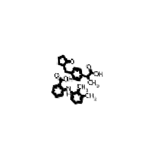 CC(C(=O)O)c1ccc(CC2CCCC2=O)cc1.Cc1cccc(Nc2ccccc2C(=O)O)c1C